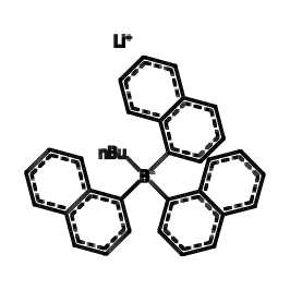 CCCC[B-](c1cccc2ccccc12)(c1cccc2ccccc12)c1cccc2ccccc12.[Li+]